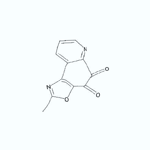 Cc1nc2c(o1)C(=O)C(=O)c1ncccc1-2